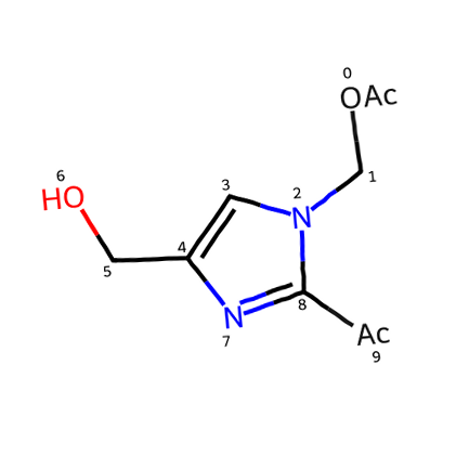 CC(=O)OCn1cc(CO)nc1C(C)=O